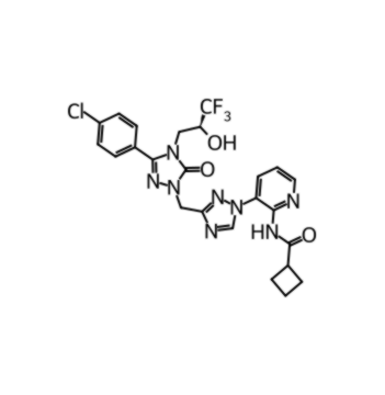 O=C(Nc1ncccc1-n1cnc(Cn2nc(-c3ccc(Cl)cc3)n(C[C@H](O)C(F)(F)F)c2=O)n1)C1CCC1